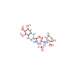 COc1cc2c(c(OC)c1OC)CCC(C(=O)N[C@@H](CO)C(=O)N[C@@H](CC(C)C)B(O)O)C2